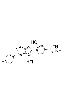 Cl.Oc1cc(-c2cn[nH]c2)ccc1-c1nc2cnc(C3=CCNCC3)cc2s1